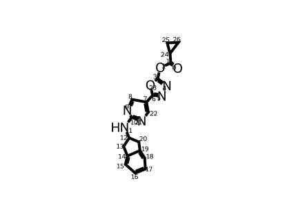 O=C(Oc1nnc(-c2cnc(NC3Cc4ccccc4C3)nc2)o1)C1CC1